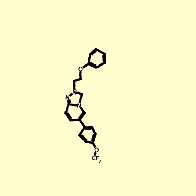 FC(F)(F)Oc1ccc(C2=CN3CN(CCOc4ccccc4)N=C3C=C2)cc1